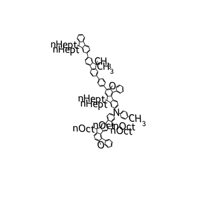 CCCCCCCCC1(CCCCCCCC)c2cc(N(c3ccc(C)cc3)c3ccc4c(c3)C(CCCCCCC)(CCCCCCC)c3cc(-c5ccc(-c6ccc7c(c6)C(C)(C)c6cc(-c8ccc9c(c8)C(CCCCCCC)(CCCCCCC)c8ccccc8-9)ccc6-7)cc5)c5oc6ccccc6c5c3-4)ccc2-c2cc3c(cc21)-c1c(ccc2oc4ccccc4c12)C3(CCCCCCCC)CCCCCCCC